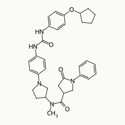 CN(C(=O)C1CC(=O)N(c2ccccc2)C1)C1CCN(c2ccc(NC(=O)Nc3ccc(OC4CCCC4)cc3)cc2)C1